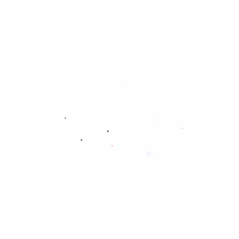 COC(=O)C1=C(C)NC(C)=C(C(=O)[C@]2(O)CO[C@@H]3[C@H](O[N+](=O)[O-])CO[C@@H]32)C1c1ccc(C#N)cc1